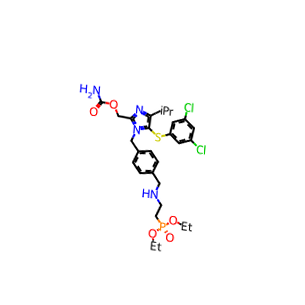 CCOP(=O)(CCNCc1ccc(Cn2c(COC(N)=O)nc(C(C)C)c2Sc2cc(Cl)cc(Cl)c2)cc1)OCC